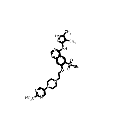 Cc1[nH]nc(Nc2ncnc3cc(OCCN4CCN(c5cnc(C(=O)O)nc5)CC4)c(S(=O)(=O)C(C)(C)C)cc23)c1C